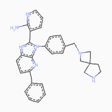 Nc1ncccc1-c1nc2ccc(-c3ccccc3)nc2n1-c1ccc(CN2CC3(CCNC3)C2)cc1